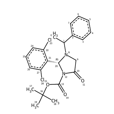 CC(c1ccccc1)N1CC(=O)N(C(=O)OC(C)(C)C)[C@@H]1c1c(Cl)cccc1Cl